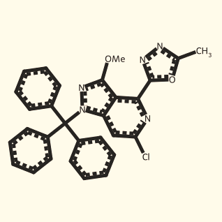 COc1nn(C(c2ccccc2)(c2ccccc2)c2ccccc2)c2cc(Cl)nc(-c3nnc(C)o3)c12